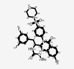 CC(C)(C)OC(=O)NC(Cc1cc(F)cc(F)c1)c1nc2cc(Br)ccc2c(=O)n1-c1ccc(S(=O)(=O)N2CCOCC2)cc1